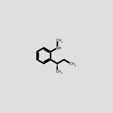 CC[C@@H](C)c1ccccc1NC